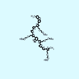 CCCCOCCOCCc1cc(C)sc1-c1ccc(-c2ccc(-c3sc(-c4ccc(-c5cc(CCOCCOCCCC)c(-c6ccc(-c7ccc(-c8sc(-c9ccc%10sc%11ccc(C)cc%11c%10c9)cc8CCOCCOCCCC)s7)s6)s5)c5nsnc45)cc3CCOCCOCCCC)s2)s1